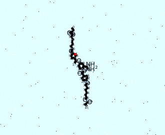 C=CC(=O)OCCCCCCOc1ccc(C(=C)Oc2ccc(OC(=O)c3ccc(OCCCCCCOC(=O)C=C)cc3)c(C(=N)N)c2)cc1